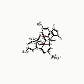 Cl.Cl.[CH2]=[Zr]([C]1=CC(C)=CC1C)([c]1ccc(C(C)(C)C)cc1)([c]1ccc(C(C)(C)C)cc1)[c]1cc(C(C)(C)C)cc2c1Cc1ccc(C(C)(C)C)cc1-2